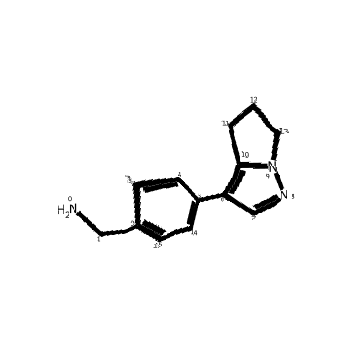 NCc1ccc(-c2cnn3c2CCC3)cc1